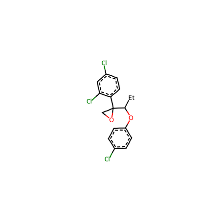 CCC(Oc1ccc(Cl)cc1)C1(c2ccc(Cl)cc2Cl)CO1